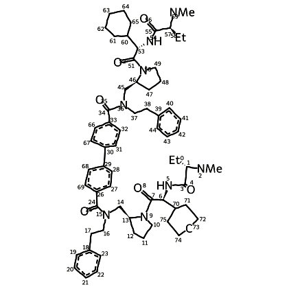 CC[C@H](NC)C(=O)N[C@H](C(=O)N1CCC[C@H]1CN(CCc1ccccc1)C(=O)c1ccc(-c2ccc(C(=O)N(CCc3ccccc3)C[C@@H]3CCCN3C(=O)[C@@H](NC(=O)[C@H](CC)NC)C3CCCCC3)cc2)cc1)C1CCCCC1